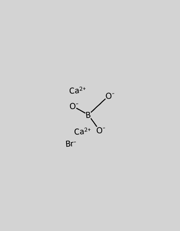 [Br-].[Ca+2].[Ca+2].[O-]B([O-])[O-]